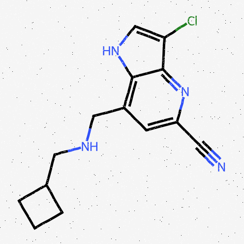 N#Cc1cc(CNCC2CCC2)c2[nH]cc(Cl)c2n1